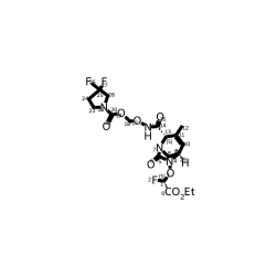 CCOC(=O)[C@H](F)ON1C(=O)N2C[C@H]1C=C(C)[C@H]2C(=O)NOCOC(=O)N1CCC(F)(F)C1